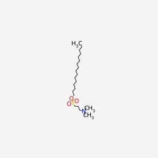 CCCCCCCCCCCCCCCCOS(=O)(=O)CCCN(C)C